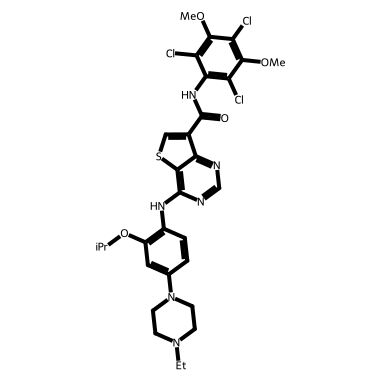 CCN1CCN(c2ccc(Nc3ncnc4c(C(=O)Nc5c(Cl)c(OC)c(Cl)c(OC)c5Cl)csc34)c(OC(C)C)c2)CC1